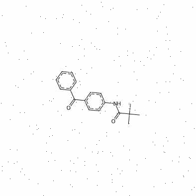 CC(C)(C)C(=O)Nc1ccc(C(=O)c2ccccc2)cc1